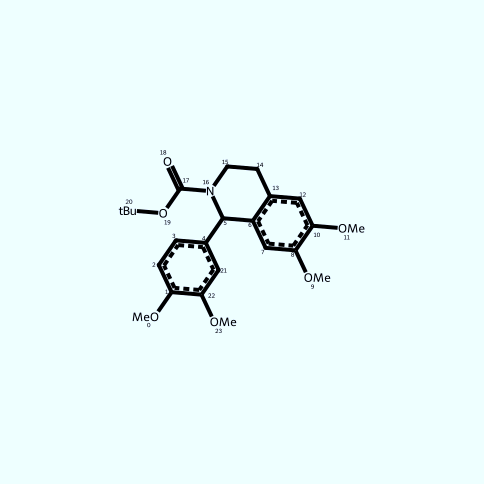 COc1ccc(C2c3cc(OC)c(OC)cc3CCN2C(=O)OC(C)(C)C)cc1OC